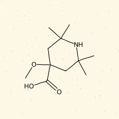 COC1(C(=O)O)CC(C)(C)NC(C)(C)C1